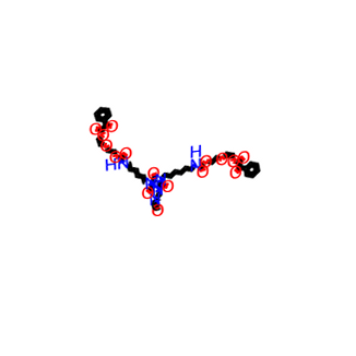 O=C=NCn1c(=O)n(CCCCCCNC(=O)OCCO/C=C\OC(=O)C(=O)c2ccccc2)c(=O)n(CCCCCCNC(=O)OCCO/C=C\OC(=O)C(=O)c2ccccc2)c1=O